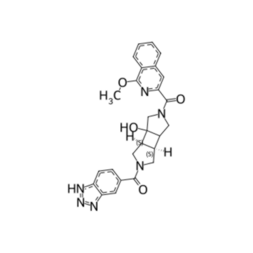 COc1nc(C(=O)N2CC3[C@H]4CN(C(=O)c5ccc6[nH]nnc6c5)C[C@H]4C3(O)C2)cc2ccccc12